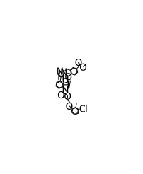 COC(=O)c1ccc(O)c(Cn2cc(-c3cccc4c3[C@H]3C[C@H]3CN4C(=O)OCCOc3cccc(Cl)c3C)cn2)c1